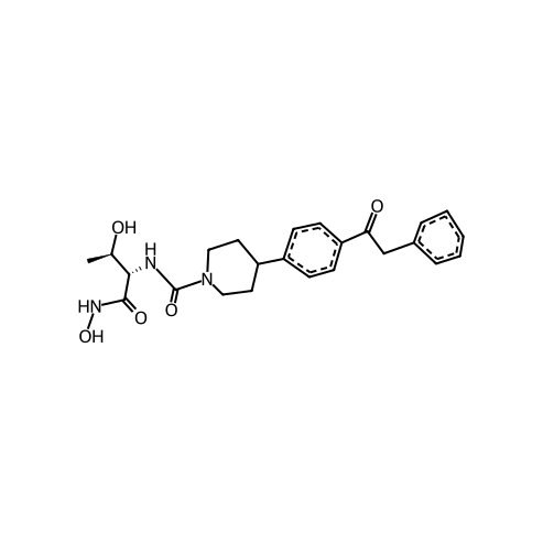 C[C@@H](O)[C@H](NC(=O)N1CCC(c2ccc(C(=O)Cc3ccccc3)cc2)CC1)C(=O)NO